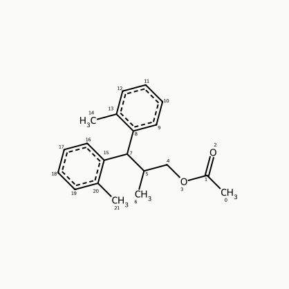 CC(=O)OCC(C)C(c1ccccc1C)c1ccccc1C